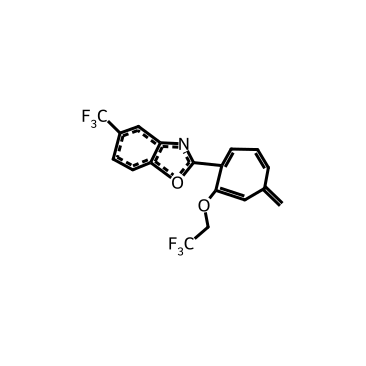 C=C1C=CC=C(c2nc3cc(C(F)(F)F)ccc3o2)C(OCC(F)(F)F)=C1